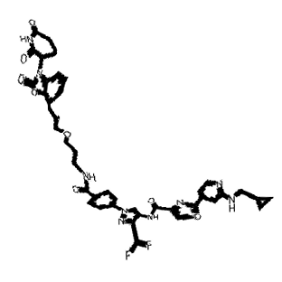 O=C1CCC(n2c(=O)oc3c(CCCOCCCNC(=O)c4ccc(-n5cc(NC(=O)c6coc(-c7ccnc(NCC8CC8)c7)n6)c(C(F)F)n5)cc4)cccc32)C(=O)N1